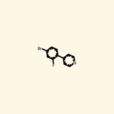 Fc1cc(Br)ccc1-c1ccncc1